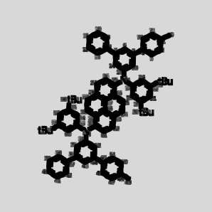 Cc1ccc(-c2cc(-c3ccccc3)cc(N(c3cc(C(C)(C)C)cc(C(C)(C)C)c3)c3ccc4ccc5c(N(c6cc(-c7ccccc7)cc(-c7ccc(C)cc7)c6)c6cc(C(C)(C)C)cc(C(C)(C)C)c6)ccc6ccc3c4c65)c2)cc1